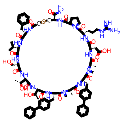 CC(C)[C@@H]1NC(=O)[C@H](Cc2ccccc2)NC(=O)CSC[C@@H](C(N)=O)NC(=O)[C@@H]2CCCN2C(=O)[C@H](CCCNC(=N)N)NC(=O)[C@H](CC(=O)O)NC(=O)[C@H](C)N(C)C(=O)[C@H](Cc2ccc(-c3ccccc3)cc2)NC(=O)[C@H](C)N(C)C(=O)[C@H](Cc2ccc(-c3ccccc3)cc2)NC(=O)[C@H]([C@@H](C)O)NC(=O)[C@H]([C@@H](C)O)NC(=O)[C@H](CO)NC1=O